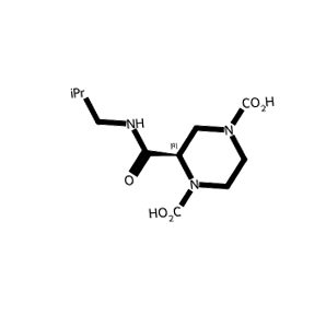 CC(C)CNC(=O)[C@H]1CN(C(=O)O)CCN1C(=O)O